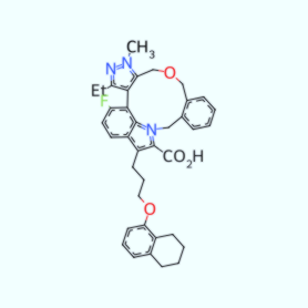 CCc1nn(C)c2c1-c1c(F)ccc3c(CCCOc4cccc5c4CCCC5)c(C(=O)O)n(c13)Cc1ccccc1COC2